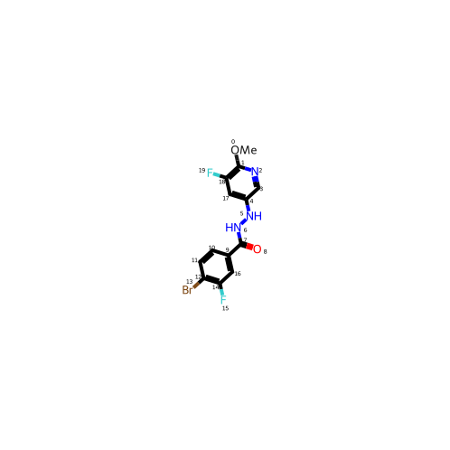 COc1ncc(NNC(=O)c2ccc(Br)c(F)c2)cc1F